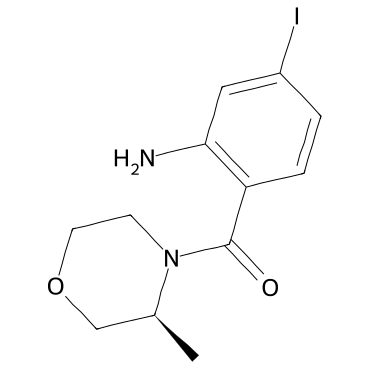 C[C@H]1COCCN1C(=O)c1ccc(I)cc1N